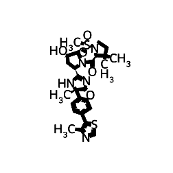 Cc1ncsc1-c1ccc([C@]2(C)NC([C@@H]3C[C@@H](O)CN3C(=O)[C@H]3N(S(C)(=O)=O)CCC3(C)C)=NC2=O)cc1